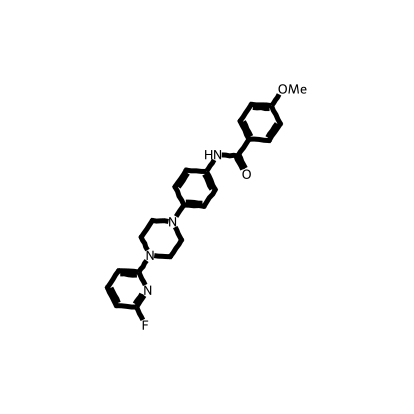 COc1ccc(C(=O)Nc2ccc(N3CCN(c4cccc(F)n4)CC3)cc2)cc1